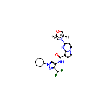 O=C(Nc1cn(C2CCCCC2)nc1C(F)F)c1ccn2ccc(N3C[C@H]4C[C@@H]3CO4)nc12